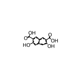 O=C(O)c1cc2cc(C(=O)O)c(O)cc2cc1O